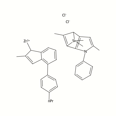 CC1=C2c3c(cc(C)n3-c3ccccc3)C1[Si]2(C)C.CCCc1ccc(-c2cccc3c2C=C(C)[CH]3[Zr+2])cc1.[Cl-].[Cl-]